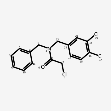 O=C(CCl)N(Cc1ccccc1)Cc1ccc(Cl)c(Cl)c1